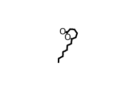 CCCCCCCC1CCCCC(=O)O1